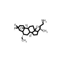 CC[C@H]1CC2[C@H](CCC3(C)C([C@H](C)CCN)CC[C@@H]23)C2(C)CCC(F)(F)CC12